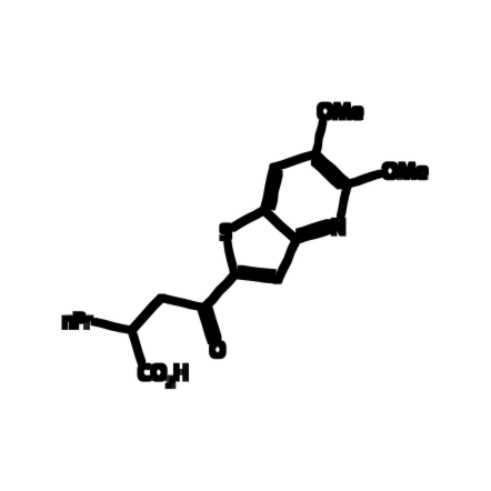 CCCC(CC(=O)c1cc2nc(OC)c(OC)cc2s1)C(=O)O